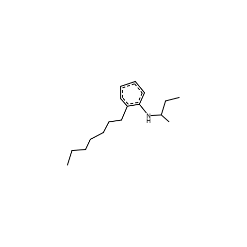 CCCCCCCc1ccccc1NC(C)CC